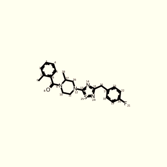 Cc1ccccc1C(=O)N1CCN(c2nc(Cc3ccc(F)cc3)ns2)CC1C